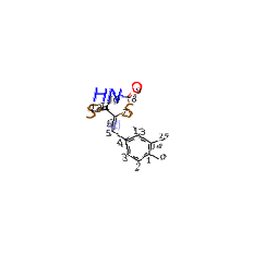 Cc1ccc(/C=C2\SC(=O)NC2=S)cc1C